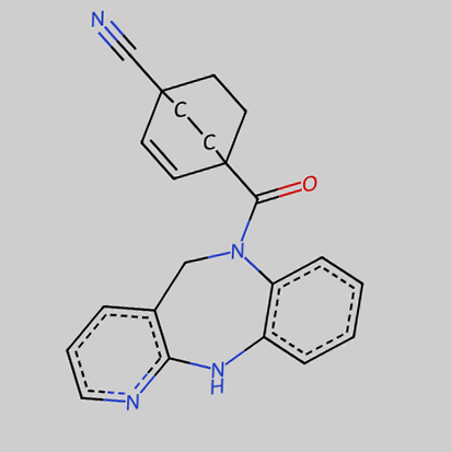 N#CC12C=CC(C(=O)N3Cc4cccnc4Nc4ccccc43)(CC1)CC2